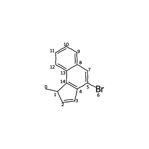 CC1C=Cc2c(Br)cc3ccccc3c21